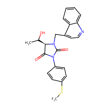 CC(O)[C@@H]1C(=O)N(c2ccc(SC(F)(F)F)cc2)C(=O)N1Cc1ccnc2ccccc12